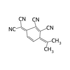 CC(C)=c1ccc(=C(C#N)C#N)c(C#N)c1C#N